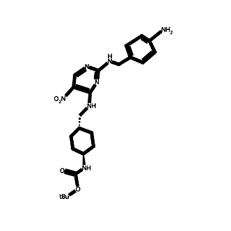 CC(C)(C)OC(=O)N[C@H]1CC[C@H](CNc2nc(NCc3ccc(N)cc3)ncc2[N+](=O)[O-])CC1